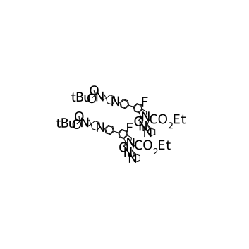 CCOC(=O)C(c1ncn2c1CCC2)N1Cc2c(F)cc(-c3ccc(N4CCC5(CC4)CN(C(=O)OC(C)(C)C)C5)cc3)cc2C1=O.CCOC(=O)C(c1ncn2c1CCC2)N1Cc2c(F)cc(-c3ccc(N4CCC5(CC4)CN(C(=O)OC(C)(C)C)C5)cc3)cc2C1=O